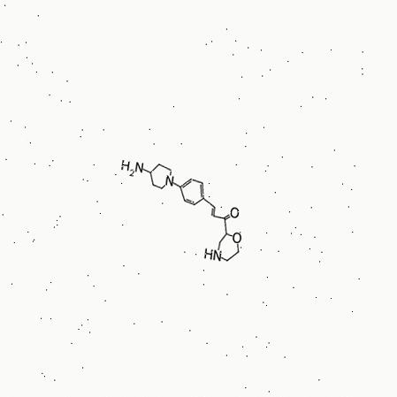 NC1CCN(c2ccc(C=CC(=O)C3CNCCO3)cc2)CC1